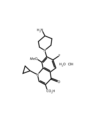 COc1c(N2CCC(N)CC2)c(F)cc2c(=O)c(C(=O)O)cn(C3CC3)c12.Cl.O